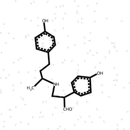 CC(CCc1ccc(O)cc1)NCC(C=O)c1ccc(O)cc1